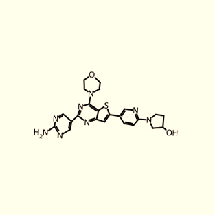 Nc1ncc(-c2nc(N3CCOCC3)c3sc(-c4ccc(N5CCC(O)C5)nc4)cc3n2)cn1